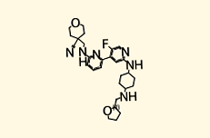 N#CC1(CNc2cccc(-c3cc(NC4CCC(NC[C@H]5CCCO5)CC4)ncc3F)n2)CCOCC1